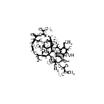 CCc1c(Cl)c(O)c(Cl)c(O)c1C(=O)O[C@H]1[C@H](O)[C@H](OC)[C@H](OC/C2=C\C=C/CC(O)/C(C)=C/C(CC)C(O[C@@H]3OC(C)(C)[C@@H](OC(=O)C(C)C)[C@H](O)[C@@H]3O)/C(C)=C/C(C)=C/CC(C(C)=O)OC2=O)O[C@@H]1C